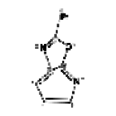 CC(C)c1nc2cccnc2o1